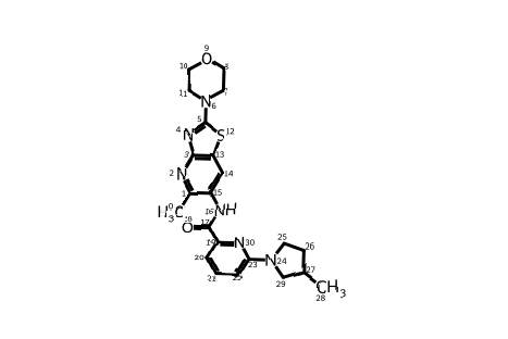 Cc1nc2nc(N3CCOCC3)sc2cc1NC(=O)c1cccc(N2CCC(C)C2)n1